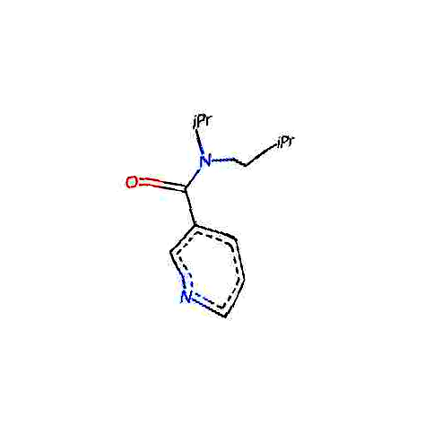 CC(C)CN(C(=O)c1cccnc1)C(C)C